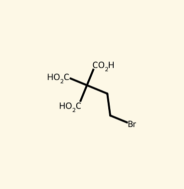 O=C(O)C(CCBr)(C(=O)O)C(=O)O